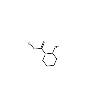 CCCC1CCCCN1C(=O)CCl